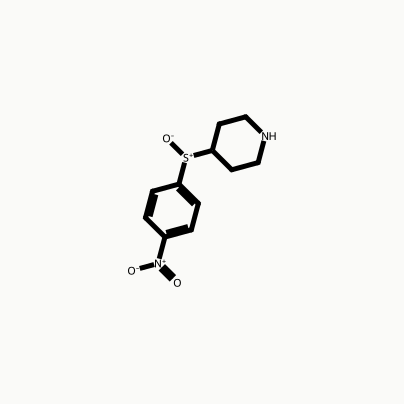 O=[N+]([O-])c1ccc([S+]([O-])C2CCNCC2)cc1